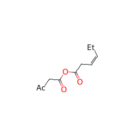 CC/C=C\CC(=O)OC(=O)CC(C)=O